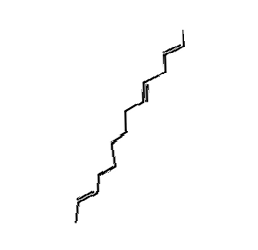 CC=CCC=CCCCCCC=CC